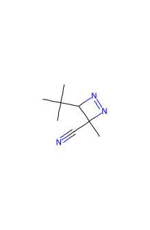 CC(C)(C)C1N=NC1(C)C#N